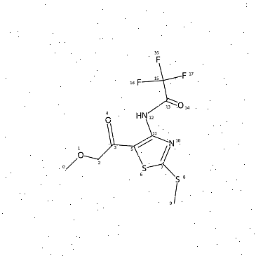 COCC(=O)c1sc(SC)nc1NC(=O)C(F)(F)F